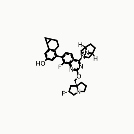 Oc1cc(-c2ccc3c(N4C[C@H]5CC[C@@H](C4)N5)nc(OC[C@@]45CCCN4C[C@H](F)C5)nc3c2F)c2c(c1)C1CC1CC2